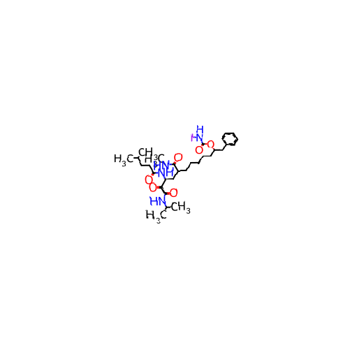 CNC(=O)C(CCCCCC(Cc1ccccc1)OC(=O)NI)C[C@H](NC(=O)CCC(C)C)C(=O)C(=O)NC(C)C